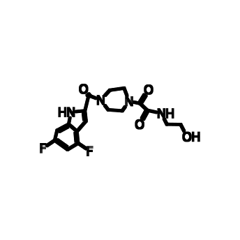 O=C(NCCO)C(=O)N1CCN(C(=O)c2cc3c(F)cc(F)cc3[nH]2)CC1